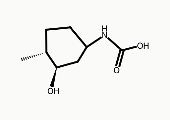 C[C@@H]1CCC(NC(=O)O)C[C@H]1O